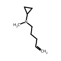 C=CCCCN(C)C1CC1